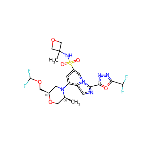 C[C@H]1CO[C@@H](COC(F)F)CN1c1cc(S(=O)(=O)NC2(C)COC2)cn2c(-c3nnc(C(F)F)o3)ncc12